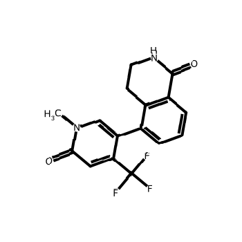 Cn1cc(-c2cccc3c2CCNC3=O)c(C(F)(F)F)cc1=O